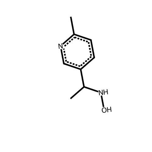 Cc1ccc(C(C)NO)cn1